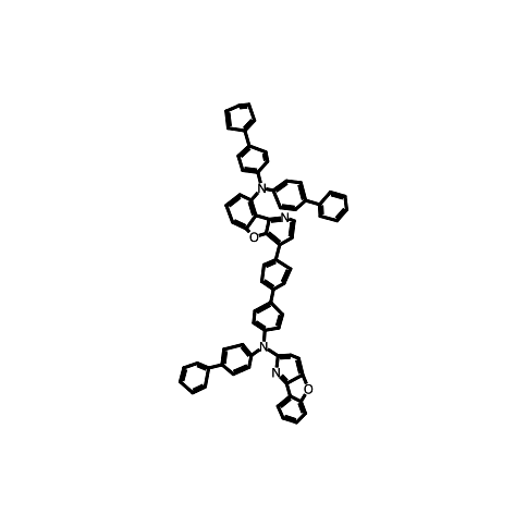 c1ccc(-c2ccc(N(c3ccc(-c4ccc(-c5ccnc6c5oc5cccc(N(c7ccc(-c8ccccc8)cc7)c7ccc(-c8ccccc8)cc7)c56)cc4)cc3)c3ccc4oc5ccccc5c4n3)cc2)cc1